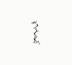 C=COCCSCCCC